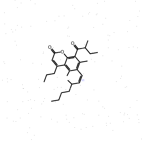 CCCCC(C)/C=C\c1c(C)c(C(=O)C(C)CC)c2oc(=O)cc(CCC)c2c1C